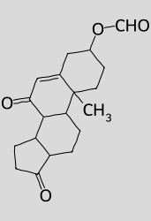 CC12CCC(OC=O)CC1=CC(=O)C1C3CCC(=O)C3CCC12